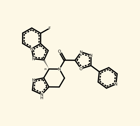 O=C(c1nnc(-c2ccncc2)o1)N1CCc2[nH]cnc2[C@@H]1c1cc2c(F)cccn2n1